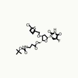 CC(C)(C)OC(=O)NCCC(=O)OC[C@H]1O[C@@H](n2cc(F)c(=O)[nH]c2=O)C[C@@H]1OCc1ccc(Cl)s1